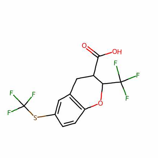 O=C(O)C1Cc2cc(SC(F)(F)F)ccc2OC1C(F)(F)F